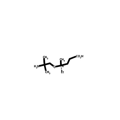 CC[C@](C)(CCC(=O)O)OCC(C)(C)N